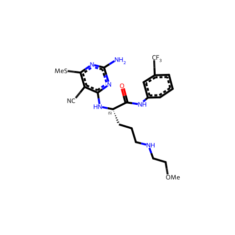 COCCNCCC[C@H](Nc1nc(N)nc(SC)c1C#N)C(=O)Nc1cccc(C(F)(F)F)c1